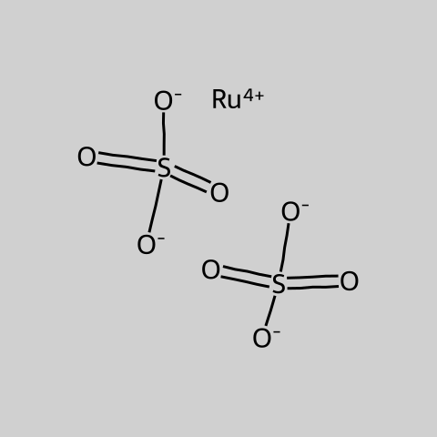 O=S(=O)([O-])[O-].O=S(=O)([O-])[O-].[Ru+4]